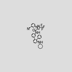 N#Cc1cccc(-n2nc(C(F)(F)F)cc2C(=O)Nc2cccc(-c3cccc(NC4CCCCCC4)c3-c3ccccc3)c2)c1